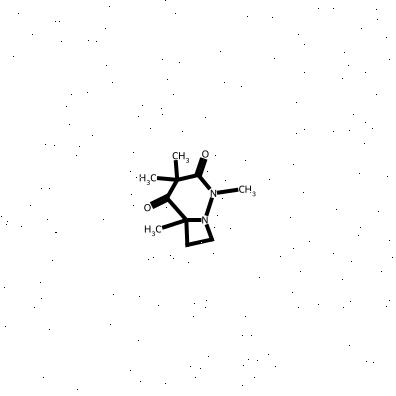 CN1C(=O)C(C)(C)C(=O)C2(C)CCN12